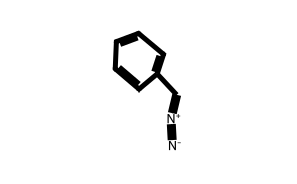 [N-]=[N+]=Cc1[c]cccc1